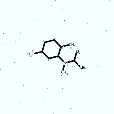 CCCCC(CC)N(C)C1CC(C)CCC1C